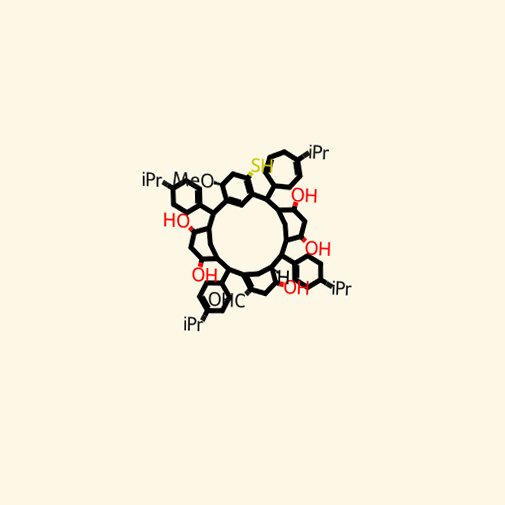 CO[C@H]1CC(S)=C2C=C1C(C1=CCC(C(C)C)CC1)C1CC(C(O)CC1O)C(C1CC=C(C(C)C)CC1)C1=C(C=O)CC(O)[C@@H](C1)C(C1=CCC(C(C)C)CC1)C1CC(C(O)CC1O)C2C1C=CCC(C(C)C)=CC1